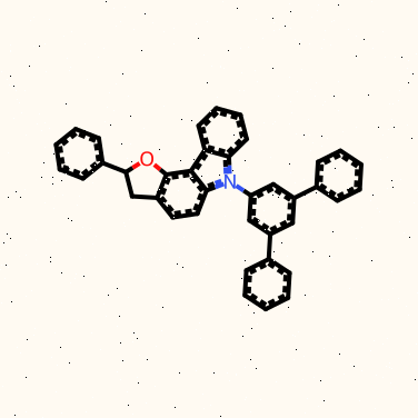 c1ccc(-c2cc(-c3ccccc3)cc(-n3c4ccccc4c4c5c(ccc43)CC(c3ccccc3)O5)c2)cc1